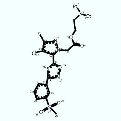 CCN(CC)CCOC(=O)Cn1nc(C)c(Cl)c1-c1nnc(-c2cccc(S(C)(=O)=O)c2)s1